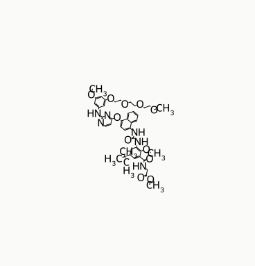 COCCOCCOCCOc1cc(Nc2nccc(Oc3ccc(NC(=O)Nc4cc(C(C)(C)C)cc(C(=O)NCC(=O)OC)c4OC)c4ccccc34)n2)cc(OC)c1